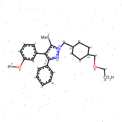 CSc1c(-c2cccc(OC(C)C)c2)c(-c2ccccc2)nn1CC1CCC(COCC(=O)O)CC1